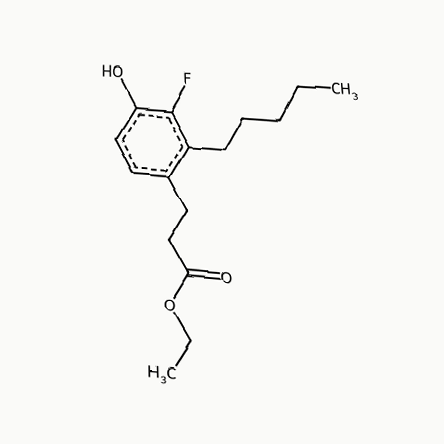 CCCCCc1c(CCC(=O)OCC)ccc(O)c1F